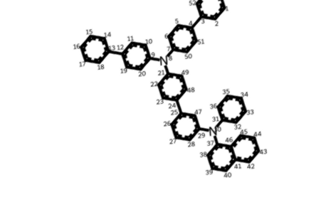 c1ccc(-c2ccc(N(c3ccc(-c4ccccc4)cc3)c3ccc(-c4cccc(N(c5ccccc5)c5cccc6ccccc56)c4)cc3)cc2)cc1